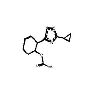 NC(=O)OC1CCCCC1c1noc(C2CC2)n1